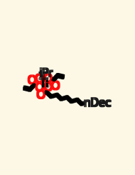 C=CC(=O)[O][Ti]([O]C(=O)C=C)([O]C(=O)CCCCCCCCCCCCCCCCC)[O]C(C)C